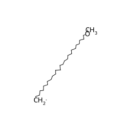 [CH2]CCCCCCCCCCCCCCCCCCCCCCCCCOC